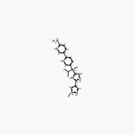 CC(C)[C@](C)(c1ccc(-c2ccc(N)nc2)nc1)c1noc(-c2cnn(C)c2)n1